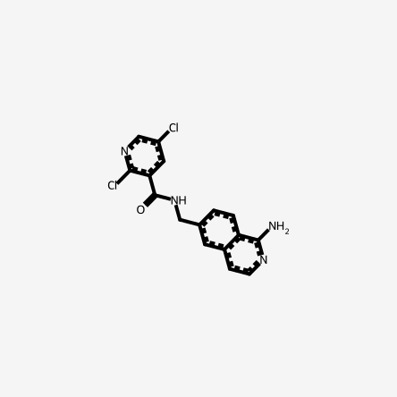 Nc1nccc2cc(CNC(=O)c3cc(Cl)cnc3Cl)ccc12